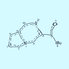 CC(C)(C)C(=O)c1cn2cccc2cn1